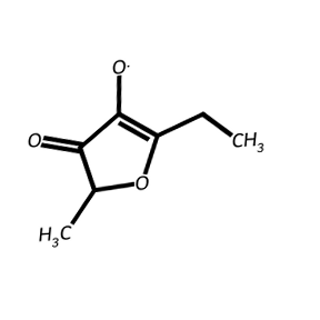 CCC1=C([O])C(=O)C(C)O1